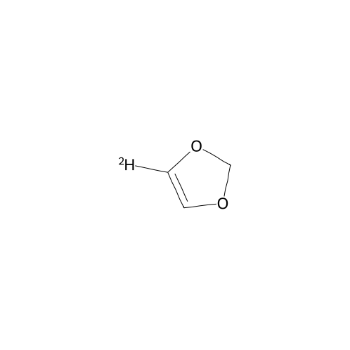 [2H]C1=COCO1